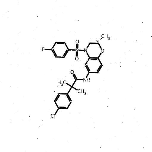 C[C@H]1CN(S(=O)(=O)c2ccc(F)cc2)c2cc(NC(=O)C(C)(C)c3ccc(Cl)cc3)ccc2O1